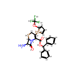 NC1C(=O)N2C(C(=O)OC(c3ccccc3)c3ccccc3)=C([SH]3C=CC=C3OC(F)(F)F)CSC12